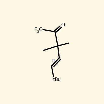 CC(C)(C)/C=C/C(C)(C)C(=O)C(F)(F)F